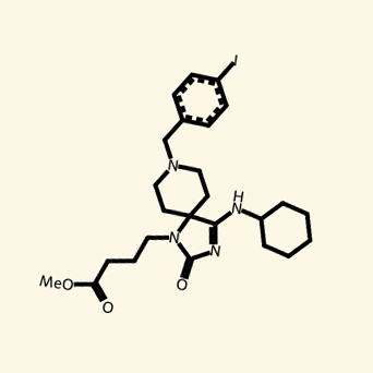 COC(=O)CCCN1C(=O)N=C(NC2CCCCC2)C12CCN(Cc1ccc(I)cc1)CC2